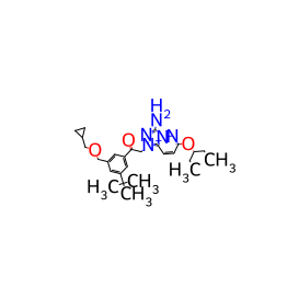 CCC(CC)Oc1ccc2n(n1)c(N)n[n+]2CC(=O)c1cc(COCC2CC2)cc(C(C)(C)C)c1